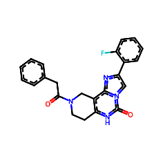 O=C(Cc1ccccc1)N1CCc2[nH]c(=O)n3cc(-c4ccccc4F)nc3c2C1